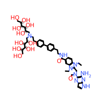 CCn1c(CN(C=O)c2nc3cc[nH]c3nc2N)[n+](CC)c2ccc(C(=O)NCCc3ccc(-c4ccc(CCN(C[C@H](O)[C@@H](O)[C@H](O)[C@H](O)CO)C[C@H](O)[C@@H](O)[C@H](O)[C@H](O)CO)cc4)cc3)cc21